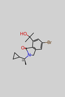 C[C@@H](C1CC1)N1Cc2cc(Br)cc(C(C)(C)O)c2C1=O